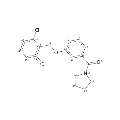 O=C(c1cccc(OCc2c(Cl)cccc2Cl)c1)N1CCCC1